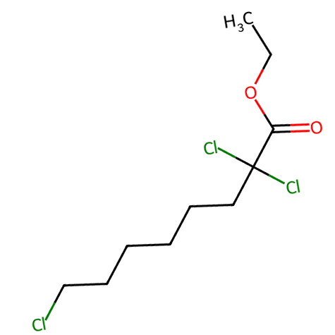 CCOC(=O)C(Cl)(Cl)CCCCCCCl